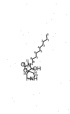 CCCCCCCCCC[N+]1(C)C(=O)OC2(CCNCC2)C1O